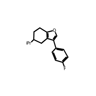 CC(C)C1CCc2occ(-c3ccc(F)cc3)c2C1